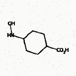 O=C(O)C1CCC(NO)CC1